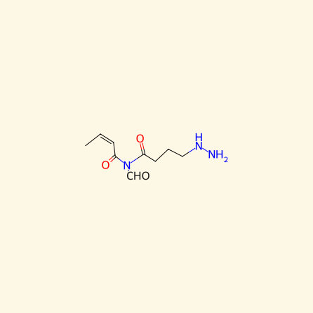 C/C=C\C(=O)N(C=O)C(=O)CCCNN